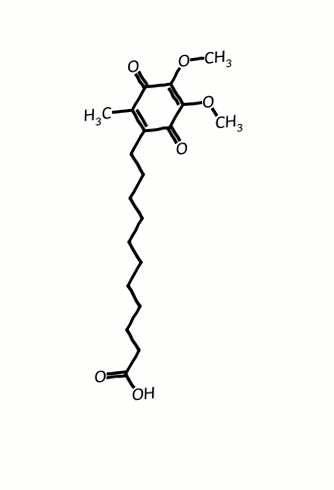 COC1=C(OC)C(=O)C(CCCCCCCCCCC(=O)O)=C(C)C1=O